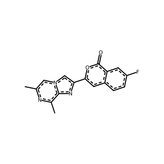 Cc1cn2cc(-c3cc4ccc(F)cc4c(=O)o3)nc2c(C)n1